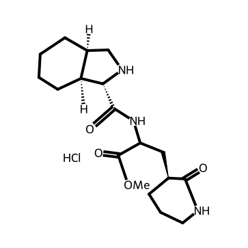 COC(=O)C(C[C@@H]1CCCNC1=O)NC(=O)[C@H]1NC[C@@H]2CCCC[C@@H]21.Cl